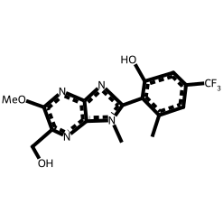 COc1nc2nc(-c3c(C)cc(C(F)(F)F)cc3O)n(C)c2nc1CO